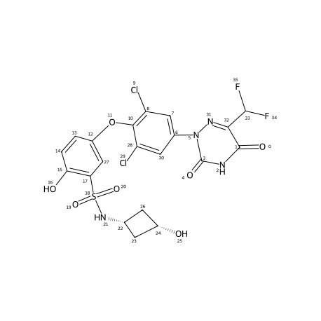 O=c1[nH]c(=O)n(-c2cc(Cl)c(Oc3ccc(O)c(S(=O)(=O)N[C@H]4C[C@@H](O)C4)c3)c(Cl)c2)nc1C(F)F